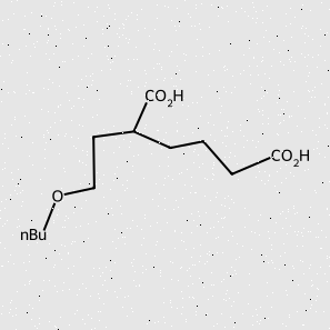 CCCCOCCC(CCCC(=O)O)C(=O)O